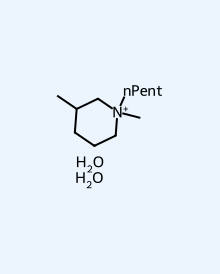 CCCCC[N+]1(C)CCCC(C)C1.O.O